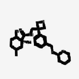 CC1CCC(C(C)C)[C@@](O)(C(=O)NCC2(c3cccc(COC4CCCCO4)c3)COC2)C1